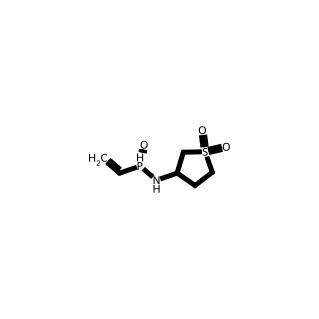 C=C[PH](=O)NC1CCS(=O)(=O)C1